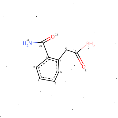 BC(=O)Cc1ccccc1C(N)=O